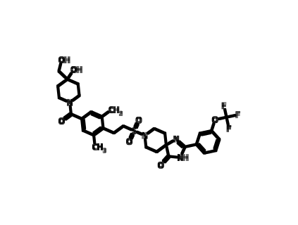 Cc1cc(C(=O)N2CCC(O)(CO)CC2)cc(C)c1CCS(=O)(=O)N1CCC2(CC1)N=C(c1cccc(OC(F)(F)F)c1)NC2=O